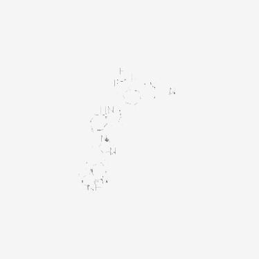 Cc1ccc(NC(=O)c2ccc(CN3CCN(C)CC3)c(C(F)(F)F)c2)cc1-n1cnc(-c2cnc3[nH]ccc3c2)c1